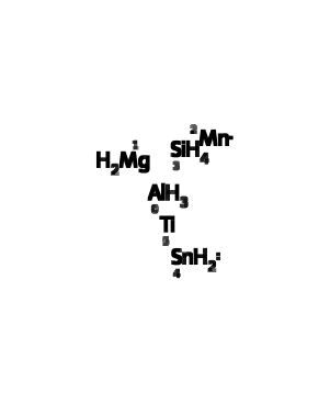 [AlH3].[MgH2].[Mn].[SiH4].[SnH2].[Ti]